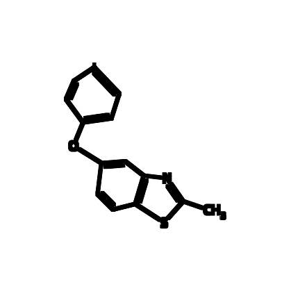 Cc1nc2cc(Oc3cc[c]cc3)ccc2s1